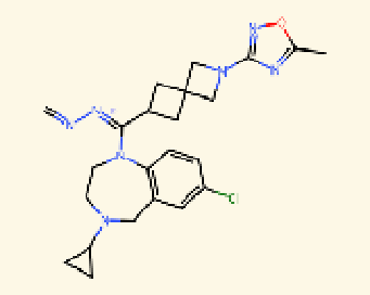 C=N/N=C(/C1CC2(C1)CN(c1noc(C)n1)C2)N1CCN(C2CC2)Cc2cc(Cl)ccc21